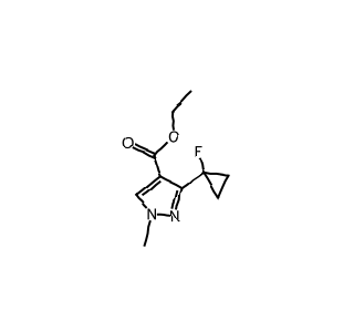 CCOC(=O)c1cn(C)nc1C1(F)CC1